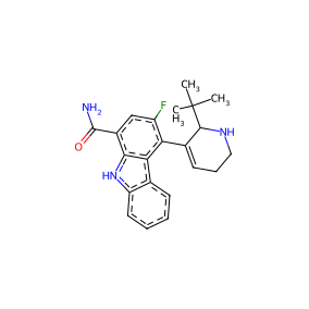 CC(C)(C)C1NCCC=C1c1c(F)cc(C(N)=O)c2[nH]c3ccccc3c12